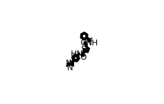 C[C@@H](NC(=O)c1ccc(C(=O)Nc2ccc(-n3cncn3)cc2)s1)C1CCCCC1